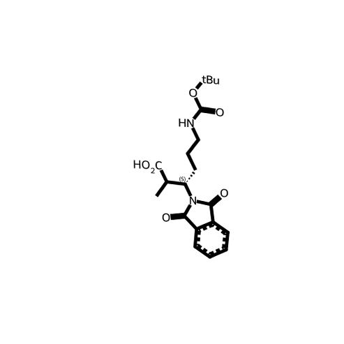 CC(C(=O)O)[C@H](CCCNC(=O)OC(C)(C)C)N1C(=O)c2ccccc2C1=O